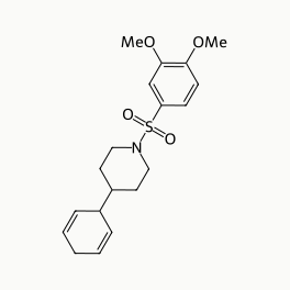 COc1ccc(S(=O)(=O)N2CCC(C3C=CCC=C3)CC2)cc1OC